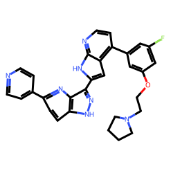 Fc1cc(OCCN2CCCC2)cc(-c2ccnc3[nH]c(-c4n[nH]c5ccc(-c6ccncc6)nc45)cc23)c1